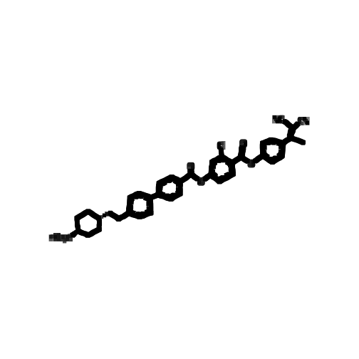 CCCCCCC[C@H]1CC[C@H](CCc2ccc(-c3ccc(C(=O)Oc4ccc(C(=O)Oc5ccc(C(C)=C(C#N)C#N)cc5)c(Cl)c4)cc3)cc2)CC1